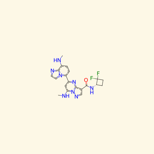 CNc1ccc(-c2cc(NC)n3ncc(C(=O)N[C@H]4CCC4(F)F)c3n2)n2ccnc12